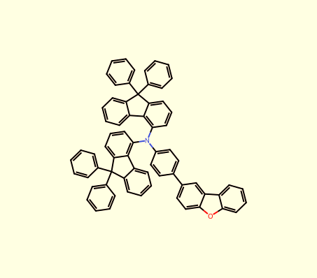 c1ccc(C2(c3ccccc3)c3ccccc3-c3c(N(c4ccc(-c5ccc6oc7ccccc7c6c5)cc4)c4cccc5c4-c4ccccc4C5(c4ccccc4)c4ccccc4)cccc32)cc1